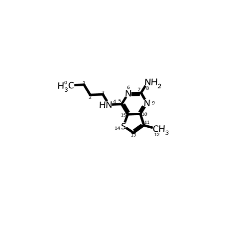 CCCCNc1nc(N)nc2c(C)csc12